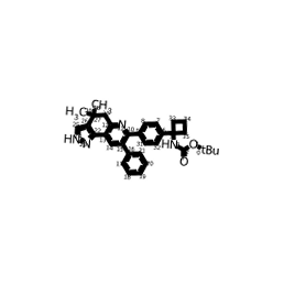 CC(C)(C)OC(=O)NC1(c2ccc(-c3nc4c(cc3-c3ccccc3)-c3n[nH]cc3C(C)(C)C4)cc2)CCC1